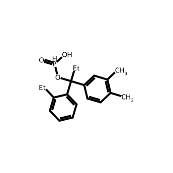 CCc1ccccc1C(CC)(O[PH](=O)O)c1ccc(C)c(C)c1